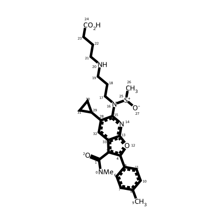 CNC(=O)c1c(-c2ccc(C)cc2)oc2nc(N(CCCNCCCC(=O)O)[S+](C)[O-])c(C3CC3)cc12